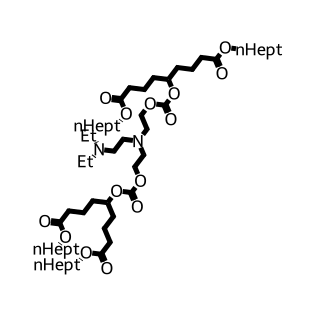 CCCCCCCOC(=O)CCCC(CCCC(=O)OCCCCCCC)OC(=O)OCCN(CCOC(=O)OC(CCCC(=O)OCCCCCCC)CCCC(=O)OCCCCCCC)CCN(CC)CC